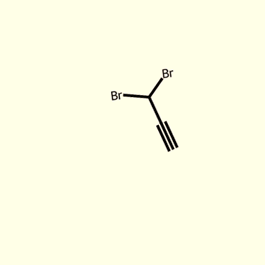 C#CC(Br)Br